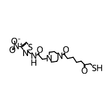 O=C(CS)CCCCC(=O)N1CCN(CC(=O)Nc2nc([N+](=O)[O-])cs2)CC1